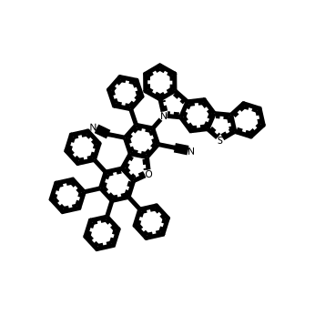 N#Cc1c(-n2c3ccccc3c3cc4c(cc32)sc2ccccc24)c(-c2ccccc2)c(C#N)c2c1oc1c(-c3ccccc3)c(-c3ccccc3)c(-c3ccccc3)c(-c3ccccc3)c12